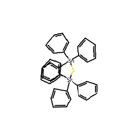 c1cc[c]([Sn]([S][Sn]([c]2ccccc2)([c]2ccccc2)[c]2ccccc2)([c]2ccccc2)[c]2ccccc2)cc1